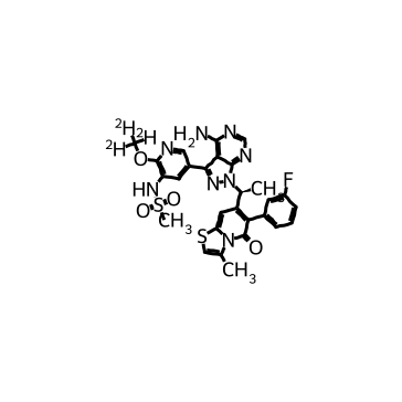 [2H]C([2H])([2H])Oc1ncc(-c2nn([C@@H](C)c3cc4scc(C)n4c(=O)c3-c3cccc(F)c3)c3ncnc(N)c23)cc1NS(C)(=O)=O